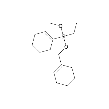 CC[Si](OC)(OCC1=CCCCC1)C1=CCCCC1